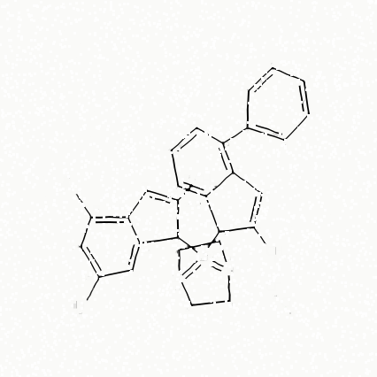 CC1=Cc2c(-c3ccccc3)cccc2[CH]1[Zr+2]1([CH]2C(C)=Cc3c(C(C)C)cc(C(C)C)cc32)=[Si]2CC[Si]=1CC2.[Cl-].[Cl-]